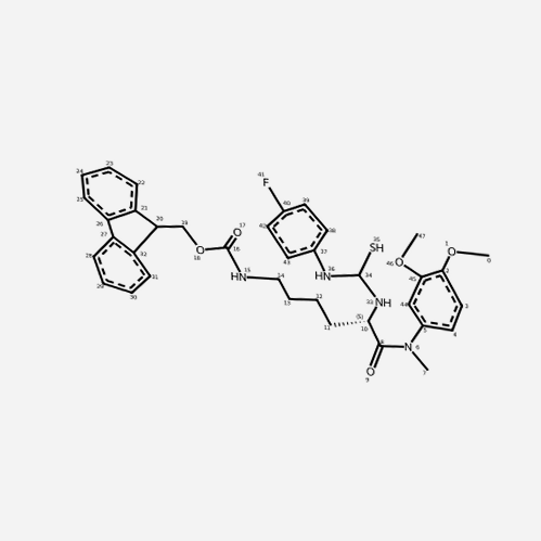 COc1ccc(N(C)C(=O)[C@H](CCCCNC(=O)OCC2c3ccccc3-c3ccccc32)NC(S)Nc2ccc(F)cc2)cc1OC